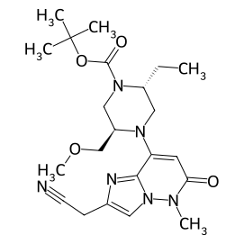 CC[C@@H]1CN(c2cc(=O)n(C)n3cc(CC#N)nc23)[C@@H](COC)CN1C(=O)OC(C)(C)C